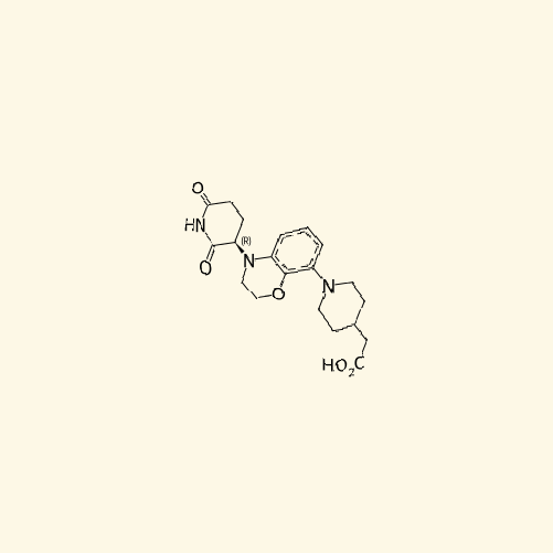 O=C(O)CC1CCN(c2cccc3c2OCCN3[C@@H]2CCC(=O)NC2=O)CC1